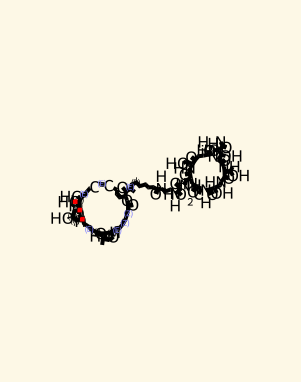 C/C(=C\[C@H](C)CCCCC(=O)NCCNC(C)C(=O)NCC1NC(=O)C(C(=O)O)NC(=O)C(O)CNC(=O)C(C(C)O)NC(=O)C(C(O)C(O)C(N)=O)NC(=O)C(C(C)C)CC(=O)C(CO)NC1=O)C1OC2C=CC1OC(=O)\C=C/C=C\C=C\[C@H]1OC3CC1O[C@@H](/C=C/C[C@H]1O[C@H](C[C@H](O)[C@H]1C)[C@@H](O)[C@@H](O)/C=C/CC/C=C/C2)C3C